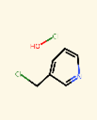 ClCc1cccnc1.OCl